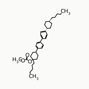 CCCCCC1(OC(=O)OC)CCC(c2ccc(-c3ccc([C@H]4CC[C@H](CCCCC)CC4)cc3)cc2)CC1